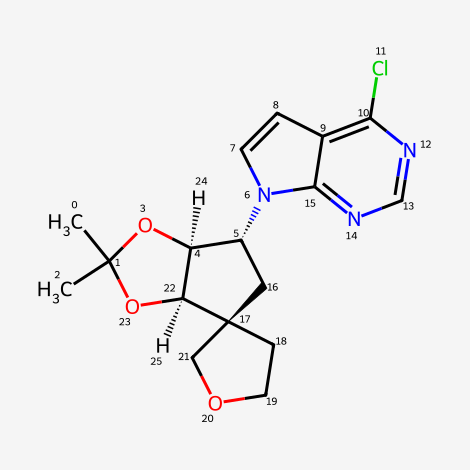 CC1(C)O[C@H]2[C@H](n3ccc4c(Cl)ncnc43)C[C@]3(CCOC3)[C@H]2O1